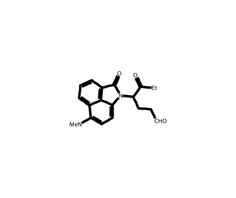 CCC(=O)C(CCC=O)N1C(=O)c2cccc3c(NC)ccc1c23